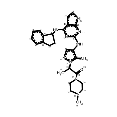 Cc1c(Nc2nc(NC3CCc4ccccc43)c3cc[nH]c3n2)cnn1C(C)C(=O)N1CCN(C)CC1